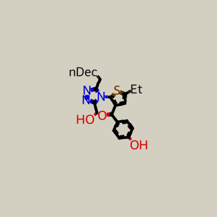 CCCCCCCCCCCc1nnc(CO)n1-c1sc(CC)cc1C(=O)c1ccc(O)cc1